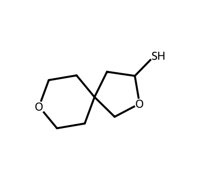 SC1CC2(CCOCC2)CO1